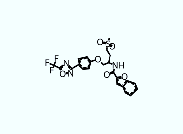 CS(=O)(=O)CCC(COc1ccc(-c2noc(C(F)(F)F)n2)cc1)NC(=O)c1cc2ccccc2o1